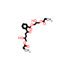 C=CC(=O)OCC(O)CCC(=O)c1ccccc1C(=O)OCC(O)COC(=O)C=C